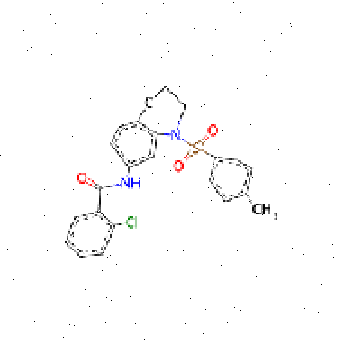 Cc1ccc(S(=O)(=O)N2CCCc3ccc(NC(=O)c4ccccc4Cl)cc32)cc1